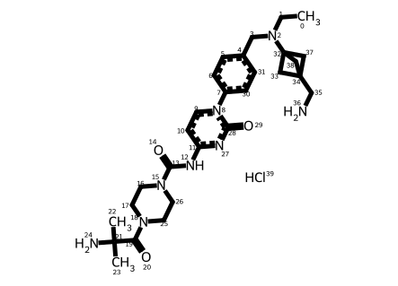 CCN(Cc1ccc(-n2ccc(NC(=O)N3CCN(C(=O)C(C)(C)N)CC3)nc2=O)cc1)C12CC(CN)(C1)C2.Cl